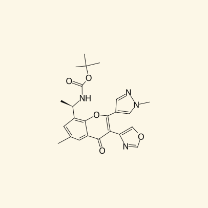 Cc1cc([C@@H](C)NC(=O)OC(C)(C)C)c2oc(-c3cnn(C)c3)c(-c3cocn3)c(=O)c2c1